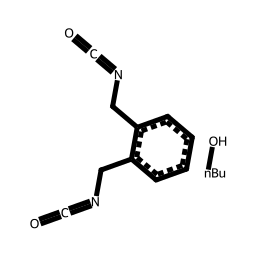 CCCCO.O=C=NCc1ccccc1CN=C=O